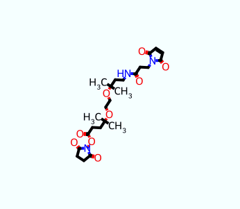 CC(C)(CCNC(=O)CCN1C(=O)C=CC1=O)OCCOC(C)(C)CCC(=O)ON1C(=O)CCC1=O